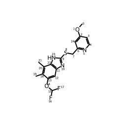 COc1ccnc(CSc2nc3cc(OC(F)F)c(C)c(C)c3[nH]2)c1